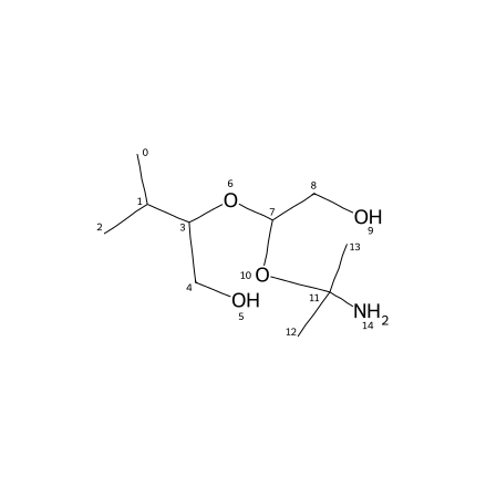 CC(C)C(CO)OC(CO)OC(C)(C)N